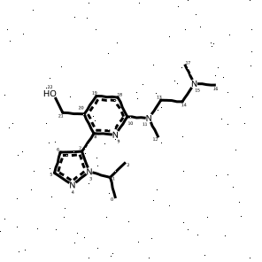 CC(C)n1nccc1-c1nc(N(C)CCN(C)C)ccc1CO